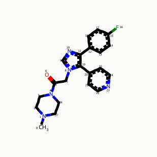 CN1CCN(C(=O)Cn2cnc(-c3ccc(F)cc3)c2-c2ccncc2)CC1